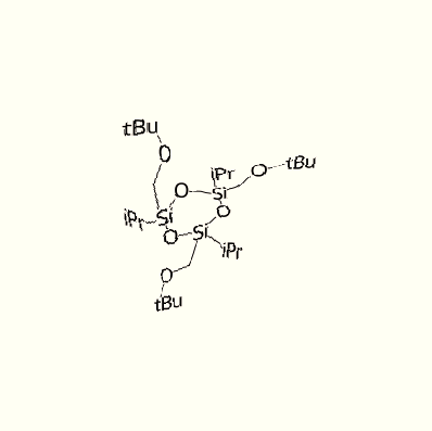 CC(C)[Si]1(COC(C)(C)C)O[Si](COC(C)(C)C)(C(C)C)O[Si](COC(C)(C)C)(C(C)C)O1